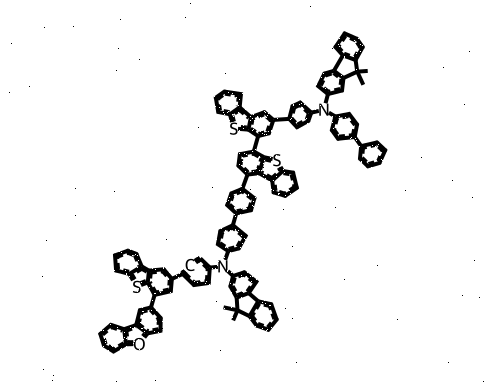 CC1(C)c2ccccc2-c2ccc(N(c3ccc(-c4ccc(-c5ccc(-c6cc(-c7ccc(N(c8ccc(-c9ccccc9)cc8)c8ccc9c(c8)C(C)(C)c8ccccc8-9)cc7)cc7c6sc6ccccc67)c6sc7ccccc7c56)cc4)cc3)c3ccc(-c4cc(-c5ccc6oc7ccccc7c6c5)c5sc6ccccc6c5c4)cc3)cc21